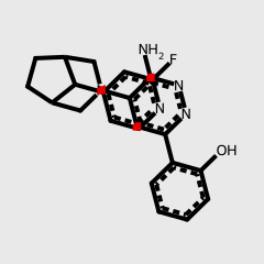 Nc1nnc(-c2ccccc2O)cc1N1CC2CCC(C1)C2c1ccnc(F)c1